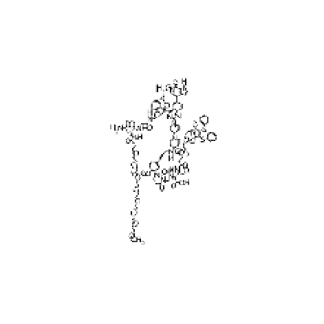 COCCOCCOCCOCCOCCOCCOCCOCCC(=O)N[C@@H](CC(N)=O)C(=O)NCC(=O)NCOC[C@](OC1CC1)(c1ccccc1)c1nc(N2CCC(N3CCC(C)(NCC#Cc4ccc(OC)c(N5CCC(=O)N(CNC(C(=O)O)C(C=O)NC(=O)CCOCCOCCN6C(=O)C(Sc7ccccc7)=C(Sc7ccccc7)C6=O)C5=O)c4)CC3)CC2)nc2ccc(-c3cn(C)c(=O)c4[nH]ccc34)cc12